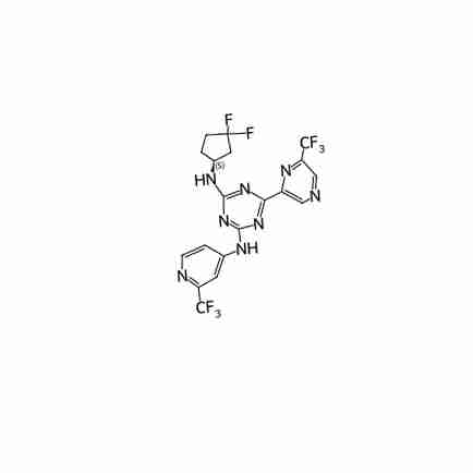 FC1(F)CC[C@H](Nc2nc(Nc3ccnc(C(F)(F)F)c3)nc(-c3cncc(C(F)(F)F)n3)n2)C1